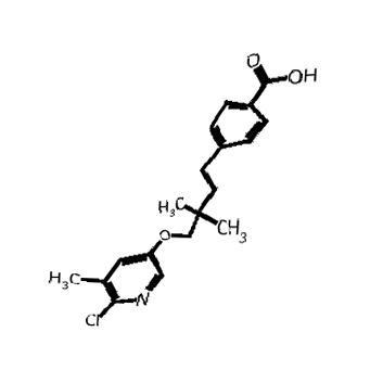 Cc1cc(OCC(C)(C)CCc2ccc(C(=O)O)cc2)cnc1Cl